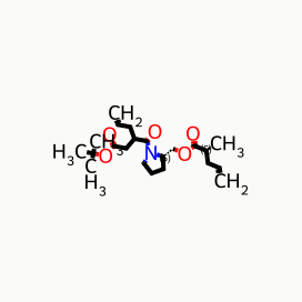 C=CCC(CC(=O)OC(C)(C)C)C(=O)N1CCC[C@H]1COC(=O)[C@@H](C)CC=C